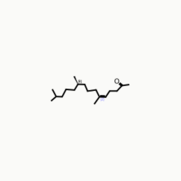 CC(=O)CC/C=C(/C)CCC[C@H](C)CCCC(C)C